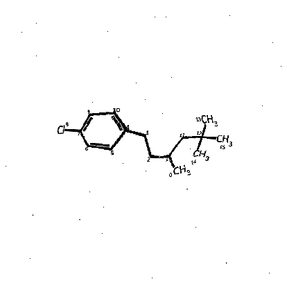 CC(CCc1ccc(Cl)cc1)CC(C)(C)C